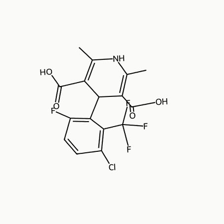 CC1=C(C(=O)O)C(c2c(F)ccc(Cl)c2C(F)(F)F)C(C(=O)O)=C(C)N1